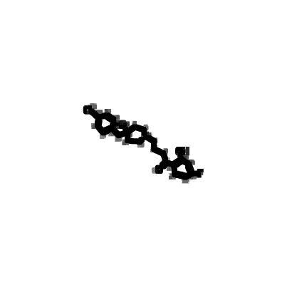 O=C(CCCN1CCC(O)(Cc2ccc(Cl)cc2)CC1)c1ccc(F)cc1O